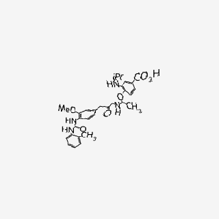 COc1cc(CC(=O)CNC(C)Oc2ccc(C(=O)O)cc2NC(C)C)ccc1NC(=O)Nc1ccccc1C